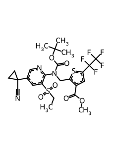 CCS(=O)(=O)c1cc(C2(C#N)CC2)cnc1N(Cc1sc(C(F)(F)C(F)(F)F)cc1C(=O)OC)C(=O)OC(C)(C)C